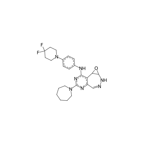 FC1(F)CCN(c2ccc(Nc3nc(N4CCCCCC4)nc4c3C3OC3NN=C4)cc2)CC1